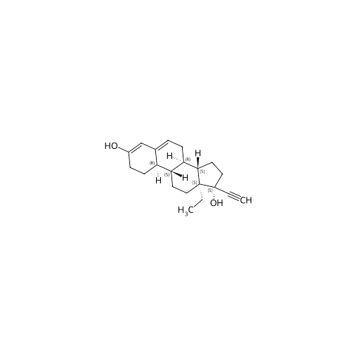 C#C[C@]1(O)CC[C@H]2[C@@H]3CC=C4C=C(O)CC[C@@H]4[C@H]3CC[C@@]21CC